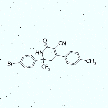 Cc1ccc(C2=C(C#N)C(=O)NC(c3ccc(Br)cc3)(C(F)(F)F)C2)cc1